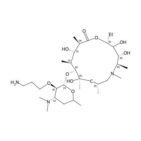 CC[C@H]1OC(=O)[C@H](C)[C@@H](O)[C@H](C)[C@@H](O[C@@H]2OC(C)C[C@H](N(C)C)[C@H]2OCCCN)[C@](C)(O)C[C@@H](C)CN(C)[C@H](C)[C@@H](O)C1O